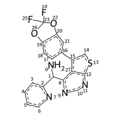 NC(c1ccccn1)c1ncnc2scc(-c3ccc4c(c3)OC(F)(F)O4)c12